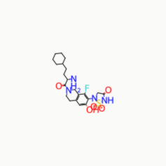 N[C@H](CCC1CCCCC1)C(=O)N1CCc2cc(O)c(N3CC(=O)NS3(=O)=O)c(F)c2C1